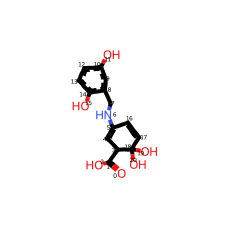 O=C(O)C1C=C(NCc2cc(O)ccc2O)C=CC1(O)O